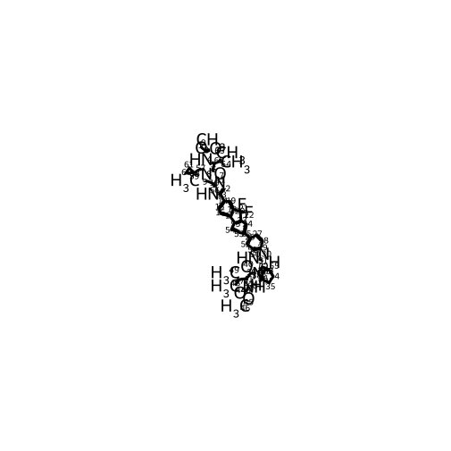 COC(=O)NC(C(=O)N(Cc1ncc(-c2ccc3c(c2)C(F)(F)c2cc(-c4ccc5nc([C@@H]6[C@H]7CC[C@H](C7)N6C(=O)C(NC(=O)OC)C(C)C)[nH]c5c4)ccc2-3)[nH]1)CC1(C)CC1)C(C)C